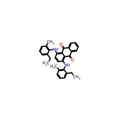 CCc1cccc(C)c1Nc1ccc(Nc2c(C)cccc2CC)c2c1C(=O)c1ccccc1C2=O